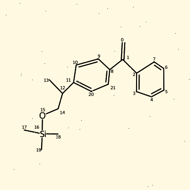 C=C(c1ccccc1)c1ccc(C(C)CO[Si](C)(C)C)cc1